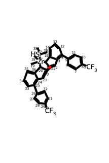 CC1=Cc2c(-c3ccc(C(F)(F)F)cc3)cccc2[CH]1[Zr]([CH3])([CH3])([CH]1C(C)=Cc2c(-c3ccc(C(F)(F)F)cc3)cccc21)[SiH](C)C